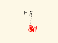 CCCCCCCCCCCCCCCCCCOC(O)CS(=O)(=O)O